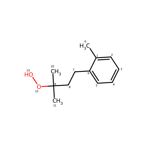 Cc1ccccc1CCC(C)(C)OO